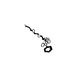 O=S(=O)(NCCOCCOCCI)c1ccccc1